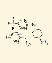 CN/C(CC1CC1)=C(\C=N)c1nc(N[C@H]2CC[C@H](N)CC2)ncc1C(F)(F)F